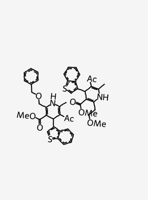 COC(=O)C1=C(COCc2ccccc2)NC(C)=C(C(C)=O)C1c1csc2ccccc12.COCCC1=C(C(=O)OC)C(c2csc3ccccc23)C(C(C)=O)=C(C)N1